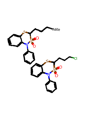 CNCCCC1Sc2ccccc2N(c2ccccc2)S1(=O)=O.O=S1(=O)C(CCCCl)Sc2ccccc2N1c1ccccc1